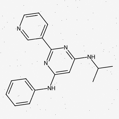 CC(C)Nc1cc(Nc2ccccc2)nc(-c2cccnc2)n1